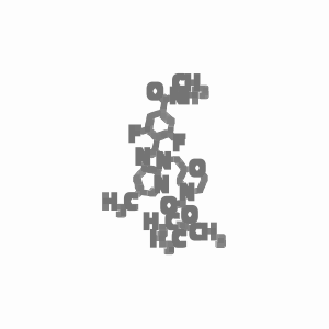 CNC(=O)c1cc(F)c(-c2nc3cc(C)cnc3n2CC2CN(C(=O)OC(C)(C)C)CCO2)c(F)c1